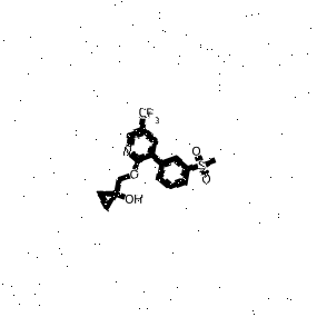 CS(=O)(=O)c1cccc(-c2cc(C(F)(F)F)cnc2OCC2(O)CC2)c1